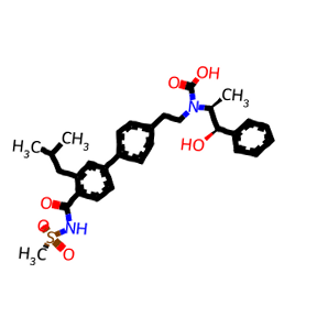 CC(C)Cc1cc(-c2ccc(CCN(C(=O)O)[C@@H](C)[C@H](O)c3ccccc3)cc2)ccc1C(=O)NS(C)(=O)=O